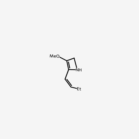 CC/C=C\C1=C(OC)CN1